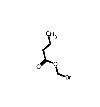 CCCC(=O)OCBr